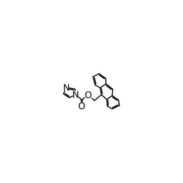 O=C(OCc1c2ccccc2cc2ccccc12)n1ccnc1